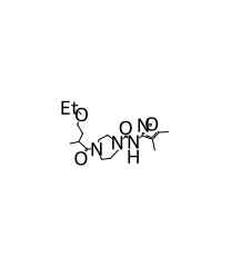 CCOCCC(C)C(=O)N1CCCN(C(=O)Nc2noc(C)c2C)CC1